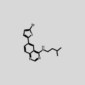 CC(C)CCNc1ncnc2ccc(-c3ccc(Br)s3)cc12